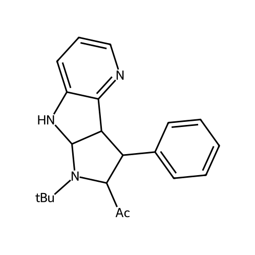 CC(=O)C1C(c2ccccc2)C2c3ncccc3NC2N1C(C)(C)C